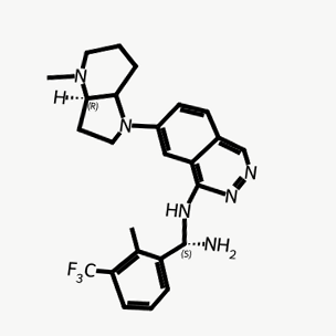 Cc1c([C@@H](N)Nc2nncc3ccc(N4CC[C@@H]5C4CCCN5C)cc23)cccc1C(F)(F)F